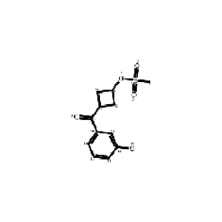 CS(=O)(=O)OC1CC(C(=O)c2cccc(Cl)c2)C1